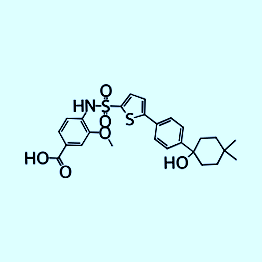 COc1cc(C(=O)O)ccc1NS(=O)(=O)c1ccc(-c2ccc(C3(O)CCC(C)(C)CC3)cc2)s1